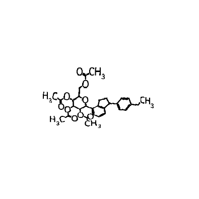 CCc1ccc(C2CCc3c2cccc3C2OC(COC(C)=O)C(OC(C)=O)C(OC(C)=O)C2OC(C)=O)cc1